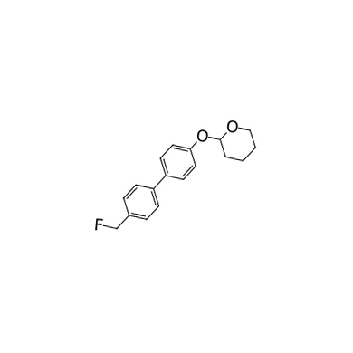 FCc1ccc(-c2ccc(OC3CCCCO3)cc2)cc1